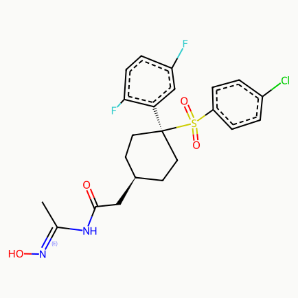 C/C(=N\O)NC(=O)C[C@H]1CC[C@@](c2cc(F)ccc2F)(S(=O)(=O)c2ccc(Cl)cc2)CC1